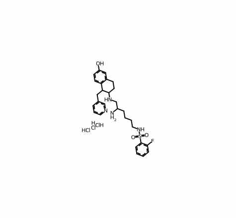 Cl.Cl.Cl.NC(CCCCNS(=O)(=O)c1ccccc1F)CNC1CCc2cc(O)ccc2C1Cc1cccnc1